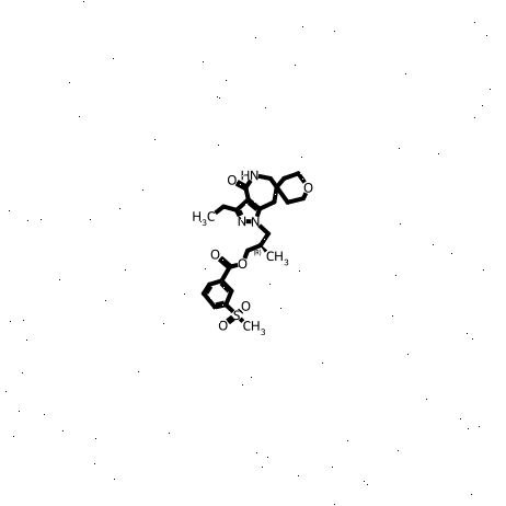 CCc1nn(C[C@@H](C)COC(=O)c2cccc(S(C)(=O)=O)c2)c2c1C(=O)NCC1(CCOCC1)C2